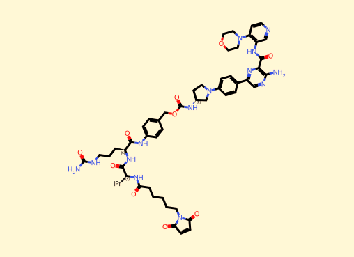 CC(C)[C@H](NC(=O)CCCCCN1C(=O)C=CC1=O)C(=O)N[C@@H](CCCNC(N)=O)C(=O)Nc1ccc(COC(=O)N[C@@H]2CCN(c3ccc(-c4cnc(N)c(C(=O)Nc5cnccc5N5CCOCC5)n4)cc3)C2)cc1